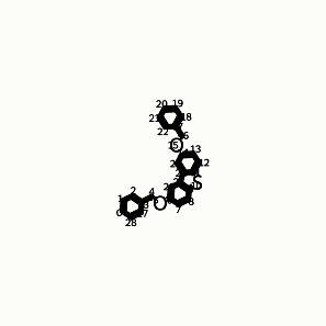 c1ccc(COc2ccc3sc4ccc(OCc5ccccc5)cc4c3c2)cc1